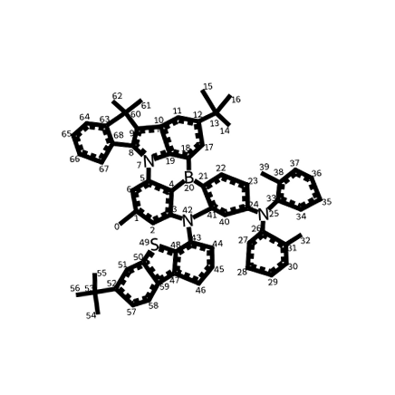 Cc1cc2c3c(c1)-n1c4c(c5cc(C(C)(C)C)cc(c51)B3c1ccc(N(c3ccccc3C)c3ccccc3C)cc1N2c1cccc2c1sc1cc(C(C)(C)C)ccc12)C(C)(C)c1ccccc1-4